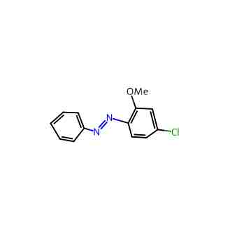 COc1cc(Cl)ccc1/N=N/c1ccccc1